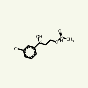 C[PH](=O)OCC[C@H](O)c1cccc(Cl)c1